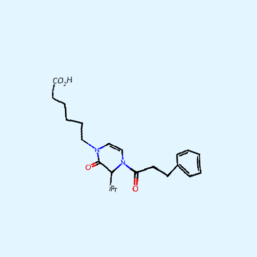 CC(C)C1C(=O)N(CCCCCC(=O)O)C=CN1C(=O)CCc1ccccc1